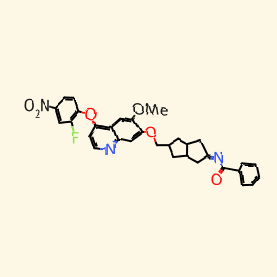 COc1cc2c(Oc3ccc([N+](=O)[O-])cc3F)ccnc2cc1OCC1CC2CC(=NC(=O)c3ccccc3)CC2C1